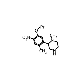 Cc1cc([N+](=O)[O-])c(OC(C)C)cc1C1CNCCN1C